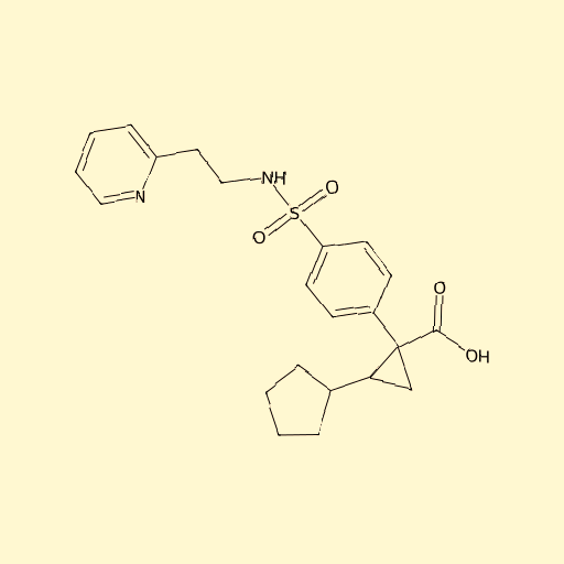 O=C(O)C1(c2ccc(S(=O)(=O)NCCc3ccccn3)cc2)CC1C1CCCC1